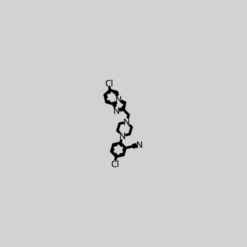 N#Cc1cc(Cl)ccc1N1CCN(Cc2cn3cc(Cl)ccc3n2)CC1